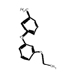 CCOc1cccc(Oc2cccc(C)c2)c1